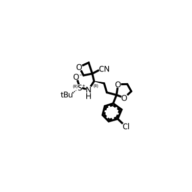 CC(C)(C)[S@+]([O-])N[C@H](CCC1(c2cccc(Cl)c2)OCCO1)C1(C#N)COC1